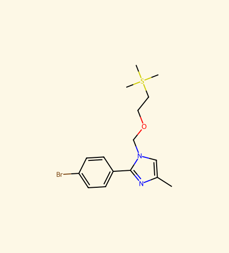 Cc1cn(COCCS(C)(C)C)c(-c2ccc(Br)cc2)n1